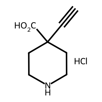 C#CC1(C(=O)O)CCNCC1.Cl